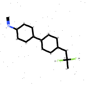 C=NC1CCC(C2CCC(CC(C)(F)F)CC2)CC1